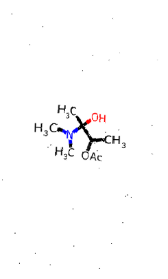 CC(=O)OC(C)C(C)(O)N(C)C